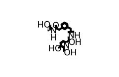 C[C@@H](CO)NC(=O)Cc1cccc(CC(C)(C)NCC(O)c2ccc(O)c(CO)n2)c1